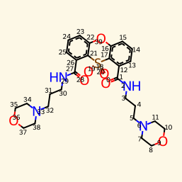 O=C(NCCCN1CCOCC1)c1cccc2c1S(=O)(=O)c1c(cccc1C(=O)NCCCN1CCOCC1)O2